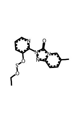 CCOSOc1cccnc1-n1nc2ccc(C)cn2c1=O